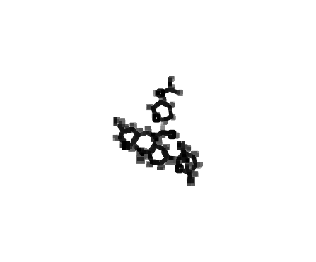 CC(C)O[C@@H]1CC[C@H](C(=O)N2Cc3cc(F)cnc3Nc3ccc(N4C[C@@H]5CC[C@H]4CO5)cc32)OC1